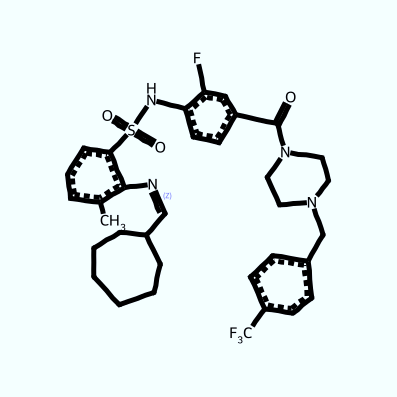 Cc1cccc(S(=O)(=O)Nc2ccc(C(=O)N3CCN(Cc4ccc(C(F)(F)F)cc4)CC3)cc2F)c1/N=C\C1CCCCCC1